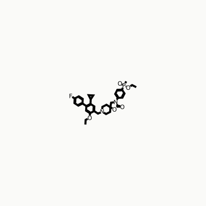 CCOc1cc(-c2ccc(F)cc2)c(C2CC2)cc1CN1CCC2(CC1)CN(c1ccc(P(C)(=O)OCC)cc1)C(=O)O2